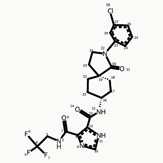 O=C(NCC(F)(F)F)c1nc[nH]c1C(=O)N[C@H]1CC[C@@]2(CCN(c3cccc(Cl)c3)C2=O)CC1